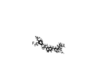 NCc1ccc(NC(=O)c2cnc3ccc(Oc4ccnc(-c5nc(CO)c[nH]5)c4)cc3c2)cc1C(F)(F)F